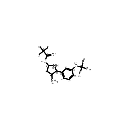 CC(C)(C)C(=O)OC1CC(N)C(c2cccc(OC(F)(F)F)c2)N1